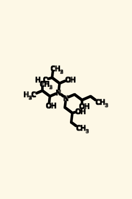 CCC(O)CN(CC(O)CC)N(C(O)C(C)C)C(O)C(C)C